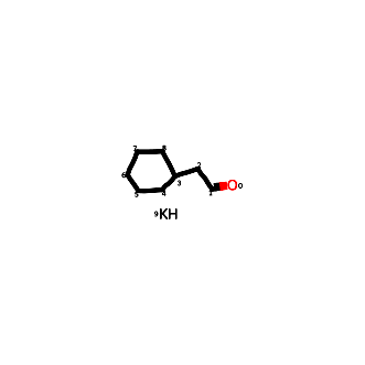 O=CCC1CCCCC1.[KH]